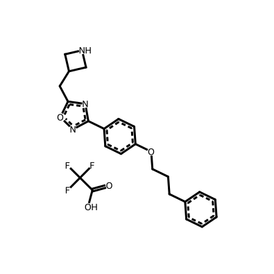 O=C(O)C(F)(F)F.c1ccc(CCCOc2ccc(-c3noc(CC4CNC4)n3)cc2)cc1